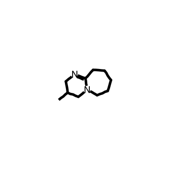 CC1CN=C2CCCCCN2C1